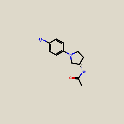 CC(=O)N[C@H]1CCN(c2ccc(N)cc2)C1